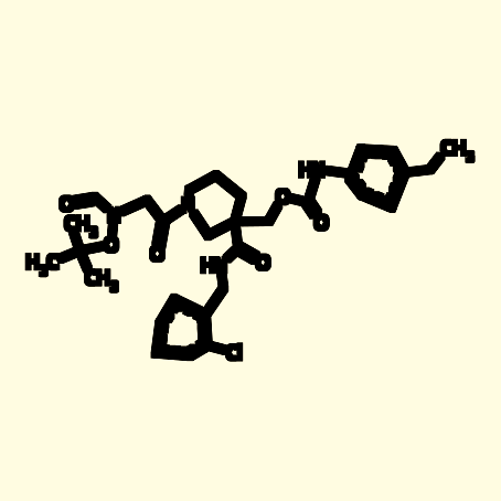 CCc1ccc(NC(=O)OCC2(C(=O)NCc3ccccc3Cl)CCCN(C(=O)CN(C=O)OC(C)(C)C)C2)cc1